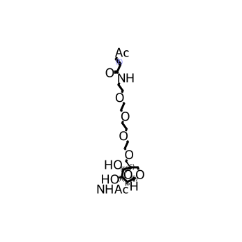 CC(=O)/C=C/C(=O)NCCOCCOCCOCCOC[C@@]12CO[C@@H](O1)[C@@H](NC(C)=O)[C@@H](O)[C@H]2O